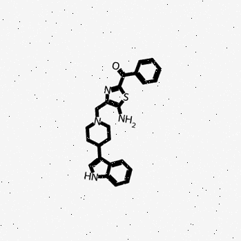 Nc1sc(C(=O)c2ccccc2)nc1CN1CCC(c2c[nH]c3ccccc23)CC1